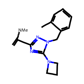 C=C(NC)c1nc(N2CCC2)n(Cc2ccccc2C)n1